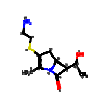 C[C@@H](O)[C@H]1C(=O)N2C(C(=O)O)=C(SCCN)CC12